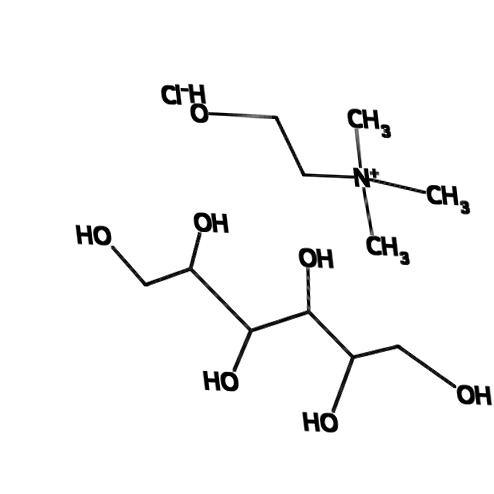 C[N+](C)(C)CCO.OCC(O)C(O)C(O)C(O)CO.[Cl-]